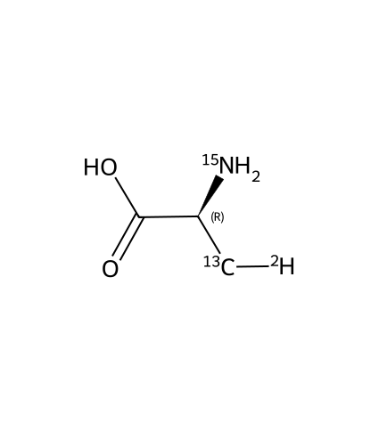 [2H][13CH2][C@H]([15NH2])C(=O)O